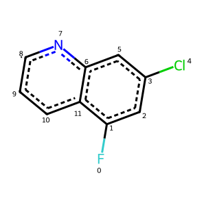 Fc1cc(Cl)cc2n[c]ccc12